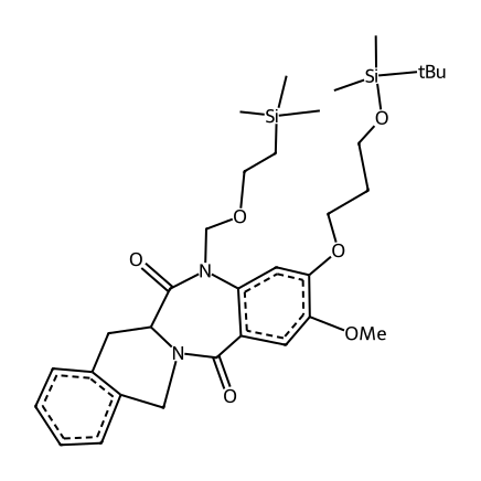 COc1cc2c(cc1OCCCO[Si](C)(C)C(C)(C)C)N(COCC[Si](C)(C)C)C(=O)C1Cc3ccccc3CN1C2=O